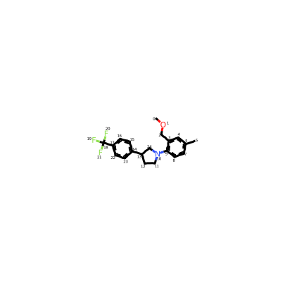 COCc1cc(C)ccc1N1CCC(c2ccc(C(F)(F)F)cc2)C1